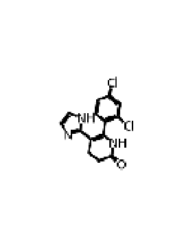 O=C1CCC(c2ncc[nH]2)=C(c2ccc(Cl)cc2Cl)N1